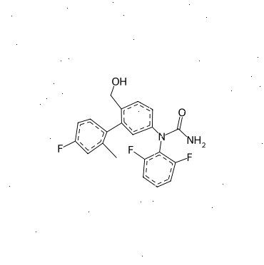 Cc1cc(F)ccc1-c1cc(N(C(N)=O)c2c(F)cccc2F)ccc1CO